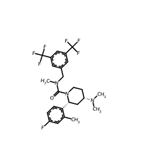 Cc1cc(F)ccc1[C@H]1C[C@@H](N(C)C)CCN1C(=O)N(C)Cc1cc(C(F)(F)F)cc(C(F)(F)F)c1